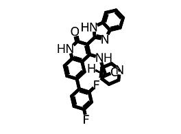 O=c1[nH]c2ccc(-c3ccc(F)cc3F)cc2c(N[C@@H]2CN3CCC2CC3)c1-c1nc2ccccc2[nH]1